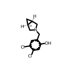 Oc1cc(Cl)c(Cl)cc1CN1C[C@H]2C[C@H]2C1